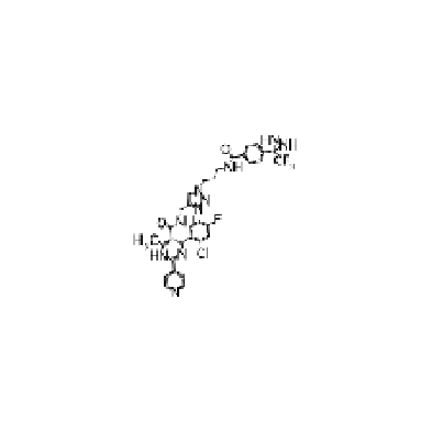 CC1=C(C(=O)NCc2cn(CCCNC(=O)c3ccc(C4(C(F)(F)F)NN4)cc3)nn2)C(c2ccc(F)cc2Cl)N=C(c2ccncc2)N1